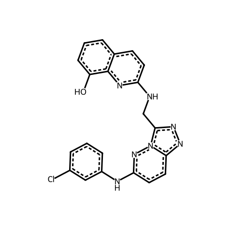 Oc1cccc2ccc(NCc3nnc4ccc(Nc5cccc(Cl)c5)nn34)nc12